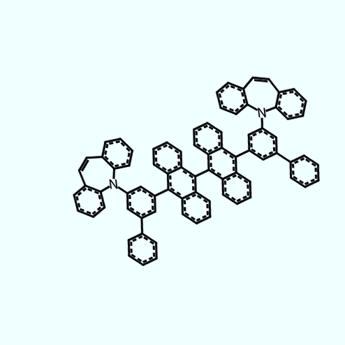 C1=Cc2ccccc2N(c2cc(-c3ccccc3)cc(-c3c4ccccc4c(-c4c5ccccc5c(-c5cc(-c6ccccc6)cc(N6c7ccccc7C=Cc7ccccc76)c5)c5ccccc45)c4ccccc34)c2)c2ccccc21